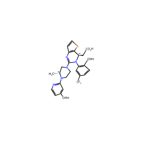 COc1ccnc(N2CCN(C3=Nc4ccsc4[C@@H](CC(=O)O)N3c3cc(C(F)(F)F)ccc3OC)C[C@H]2C)c1